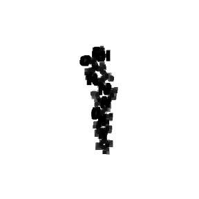 CCNC(=O)c1ccc(N2CCN(CC(=O)N3CCN(C4CCC4)CC3)CC2)nc1